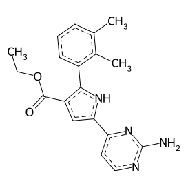 CCOC(=O)c1cc(-c2ccnc(N)n2)[nH]c1-c1cccc(C)c1C